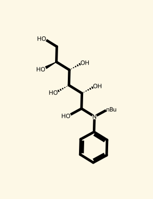 CCCCN(c1ccccc1)C(O)[C@@H](O)[C@H](O)[C@@H](O)[C@@H](O)CO